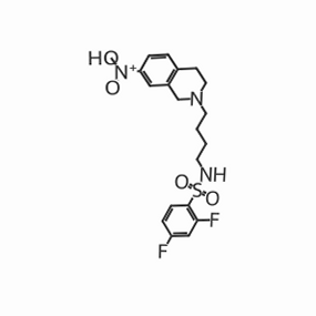 O=[N+](O)c1ccc2c(c1)CN(CCCCNS(=O)(=O)c1ccc(F)cc1F)CC2